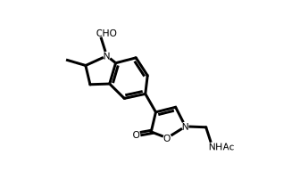 CC(=O)NCn1cc(-c2ccc3c(c2)CC(C)N3C=O)c(=O)o1